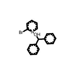 Brc1ccccn1.OC(c1ccccc1)c1ccccc1